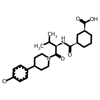 CC(C)[C@@H](NC(=O)[C@@H]1CCC[C@H](C(=O)O)C1)C(=O)N1CCC(c2ccc(Cl)cc2)CC1